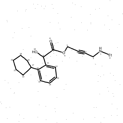 CCNCC#CCOC(=O)C(O)c1ccccc1C1CCCCC1